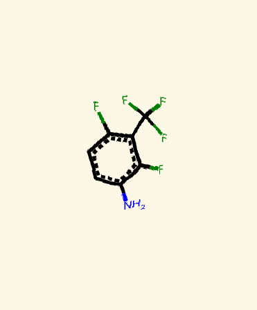 Nc1ccc(F)c(C(F)(F)F)c1F